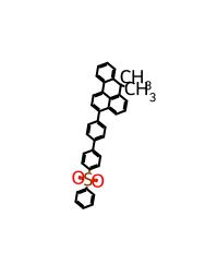 CC1(C)c2ccccc2-c2ccc(-c3ccc(-c4ccc(S(=O)(=O)c5ccccc5)cc4)cc3)c3cccc1c23